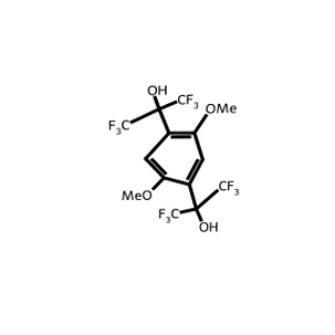 COc1cc(C(O)(C(F)(F)F)C(F)(F)F)c(OC)cc1C(O)(C(F)(F)F)C(F)(F)F